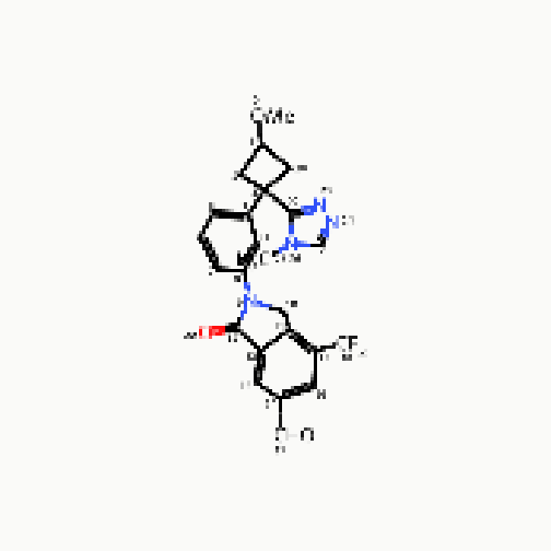 COC1CC(c2cccc(N3Cc4c(cc(C=O)cc4C(F)(F)F)C3=O)c2)(c2nncn2C)C1